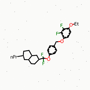 CCCC1CCC2CC(C(F)(F)Oc3ccc(COc4ccc(OCC)c(F)c4F)cc3)CCC2C1